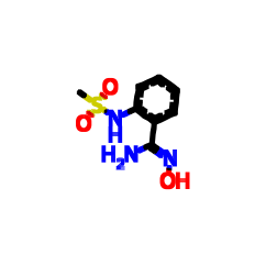 CS(=O)(=O)Nc1ccccc1C(N)=NO